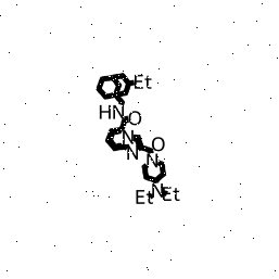 CCC1CC2CCCC(CNC(=O)c3cccc4nc(C(=O)N5CCC(N(CC)CC)CC5)cn34)(C1)C2